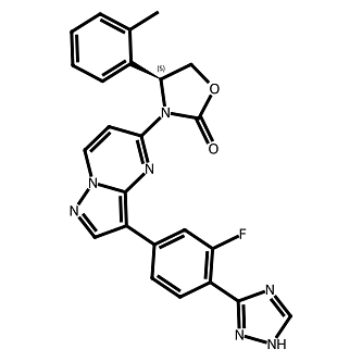 Cc1ccccc1[C@H]1COC(=O)N1c1ccn2ncc(-c3ccc(-c4nc[nH]n4)c(F)c3)c2n1